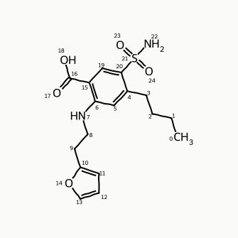 CCCCc1cc(NCCc2ccco2)c(C(=O)O)cc1S(N)(=O)=O